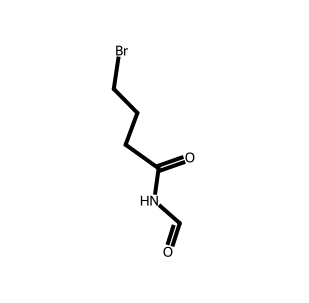 O=CNC(=O)CCCBr